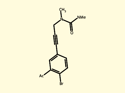 CNC(=O)N(C)CC#Cc1ccc(Br)c(C(C)=O)c1